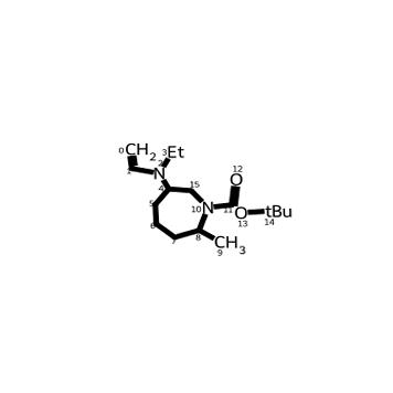 C=CN(CC)C1CCCC(C)N(C(=O)OC(C)(C)C)C1